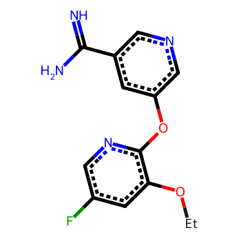 CCOc1cc(F)cnc1Oc1cncc(C(=N)N)c1